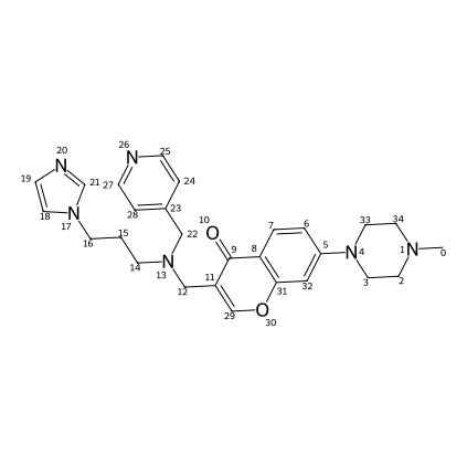 CN1CCN(c2ccc3c(=O)c(CN(CCCn4ccnc4)Cc4ccncc4)coc3c2)CC1